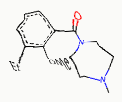 CCc1cccc(C(=O)N2CCN(C)CC2)c1OC